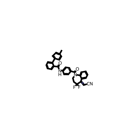 Cc1ccc(-c2ccccc2C(=O)Nc2ccc(C(=O)N3CCC(F)(F)/C(=C/C#N)c4ccccc43)cc2)cc1